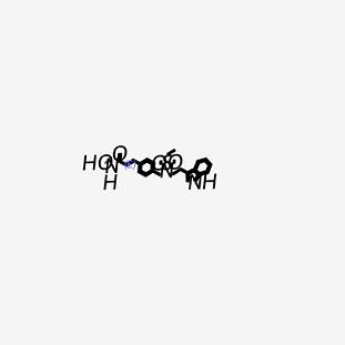 CCS(=O)(=O)N(CCc1c[nH]c2ccccc12)Cc1ccc(/C=C/C(=O)NO)cc1